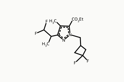 CCOC(=O)c1c(C)c(C(C)C(F)F)nn1CC1CC(F)(F)C1